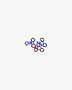 c1ccc(-c2ccccc2-c2nc(-c3ccccc3-c3ccccc3)c3oc4ccc5c(c6ccccc6n5-c5ccccc5)c4c3n2)cc1